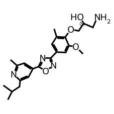 COc1cc(-c2noc(-c3cc(C)nc(CC(C)C)c3)n2)cc(C)c1OC[C@@H](O)CN